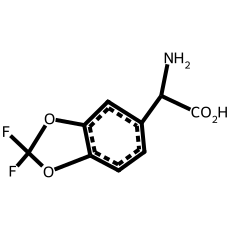 NC(C(=O)O)c1ccc2c(c1)OC(F)(F)O2